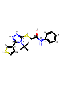 CC(C)(C)n1c(SCC(=O)Nc2ccccc2)nnc1-c1ccsc1